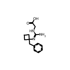 NC(=NC1(Cc2ccccc2)CCC1)NCC(=O)O